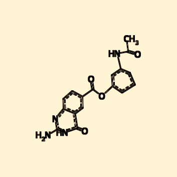 CC(=O)Nc1cccc(OC(=O)c2ccc3nc(N)[nH]c(=O)c3c2)c1